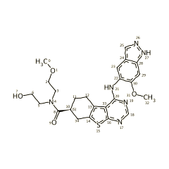 COCCN(CCO)C(=O)[C@H]1CCc2c(sc3ncnc(Nc4cc5cn[nH]c5cc4OC)c23)C1